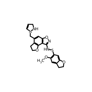 COc1cc2c(cc1SNc1noc3cc(CN4C=CCN4)c4c(c13)OCC4)OCC2